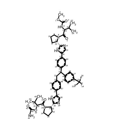 COC(=O)N[C@H](C(=O)N1CCC[C@H]1c1ncc(-c2ccc(C(Cc3ccc(-c4cnc([C@@H]5CCCN5C(=O)[C@@H](OC(N)=O)C(C)C)[nH]4)cc3)c3ccc(C(F)(F)F)cc3)cc2)[nH]1)C(C)C